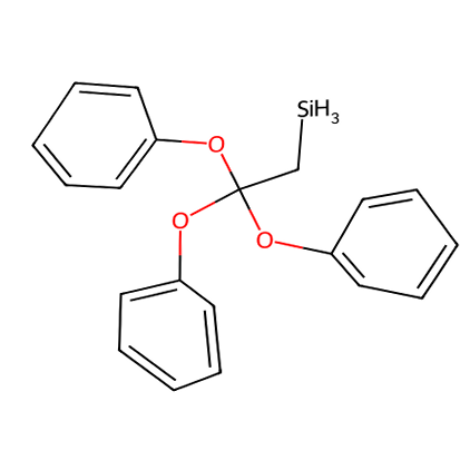 [SiH3]CC(Oc1ccccc1)(Oc1ccccc1)Oc1ccccc1